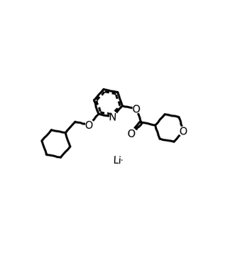 O=C(Oc1cccc(OCC2CCCCC2)n1)C1CCOCC1.[Li]